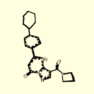 O=C(c1cnn2c(=O)cc(-c3ccc(C4CCCCC4)cc3)[nH]c12)N1CCC1